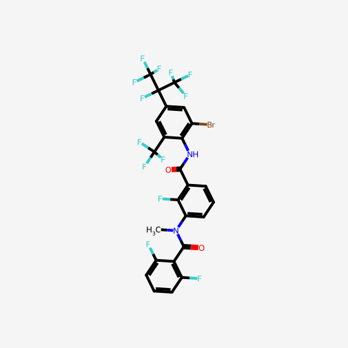 CN(C(=O)c1c(F)cccc1F)c1cccc(C(=O)Nc2c(Br)cc(C(F)(C(F)(F)F)C(F)(F)F)cc2C(F)(F)F)c1F